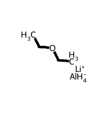 CCOCC.[AlH4-].[Li+]